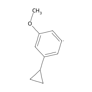 COc1c[c]cc(C2CC2)c1